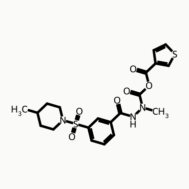 CC1CCN(S(=O)(=O)c2cccc(C(=O)NN(C)C(=O)OC(=O)c3ccsc3)c2)CC1